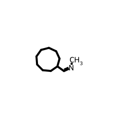 C/N=C\C1CCCCCCCC1